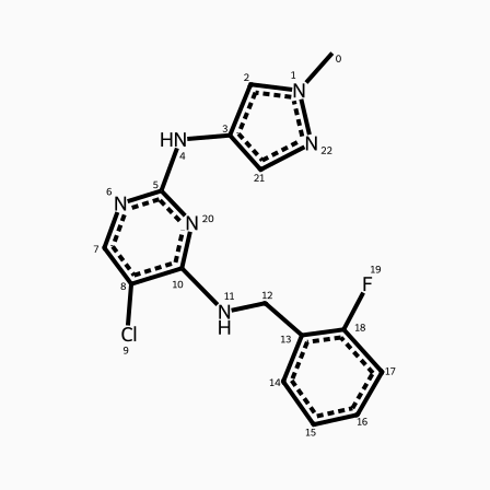 Cn1cc(Nc2ncc(Cl)c(NCc3ccccc3F)n2)cn1